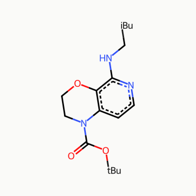 CCC(C)CNc1nccc2c1OCCN2C(=O)OC(C)(C)C